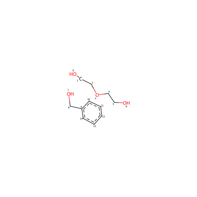 OCCOCCO.OCc1ccccc1